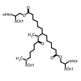 CCCCCCCCC(CCCCCC)COC(=O)CCCCCC(CCCCCC(=O)OCC(CCCCCC)CCCCCCCC)N(C)C(=O)CCCCN(C)CCCCCCCC